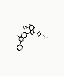 Cc1cc(-c2ccccc2)nc2cc(-c3nc([C@H]4C[C@@H](CO)C4)n4ccnc(N)c34)ccc12